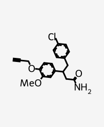 C#CCOc1ccc(C(CC(N)=O)Cc2ccc(Cl)cc2)cc1OC